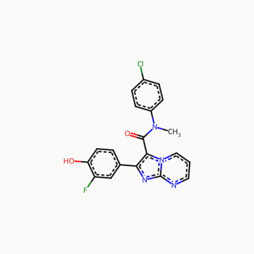 CN(C(=O)c1c(-c2ccc(O)c(F)c2)nc2ncccn12)c1ccc(Cl)cc1